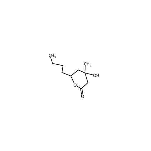 CCCCC1CC(C)(O)CC(=O)O1